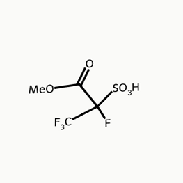 COC(=O)C(F)(C(F)(F)F)S(=O)(=O)O